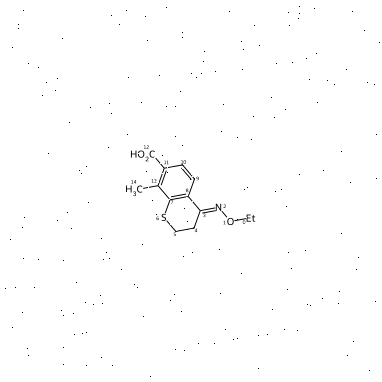 CCO/N=C1\CCSc2c1ccc(C(=O)O)c2C